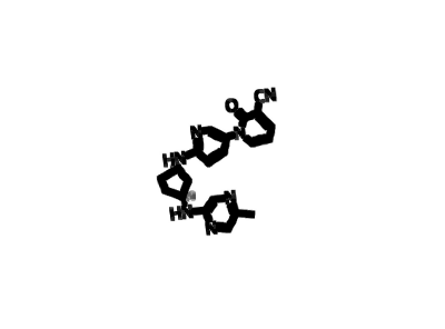 Cc1cnc(N[C@H]2CC[C@H](Nc3ccc(-n4cccc(C#N)c4=O)cn3)C2)cn1